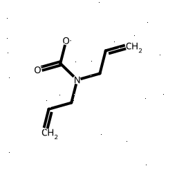 C=CCN(CC=C)C([O])=O